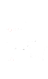 CC(=O)C1=C(C(C)=O)C2CCC1C2